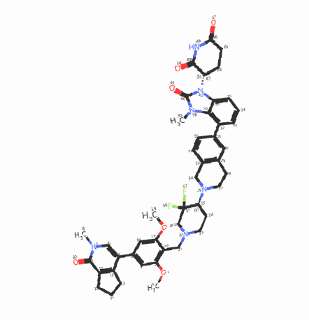 COc1cc(-c2cn(C)c(=O)c3c2CCC3)cc(OC)c1CN1CC[C@H](N2CCc3cc(-c4cccc5c4n(C)c(=O)n5[C@H]4CCC(=O)NC4=O)ccc3C2)C(F)(F)C1